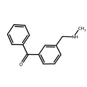 CNCc1cccc(C(=O)c2ccccc2)c1